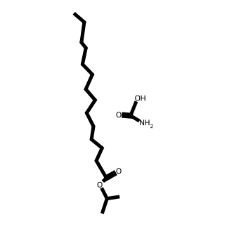 CCCCCCCCCCCCCC(=O)OC(C)C.NC(=O)O